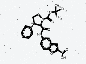 CC(C)(C)OC(=O)N1CC[C@H](c2ccccc2)C1C(=O)Nc1ccc2oc(C(=O)O)cc2c1